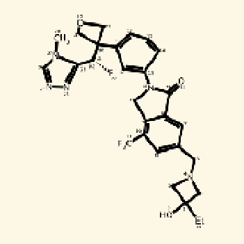 CCC1(O)CN(Cc2cc3c(c(C(F)(F)F)c2)CN(c2cccc(C4([C@H](F)c5nncn5C)COC4)c2)C3=O)C1